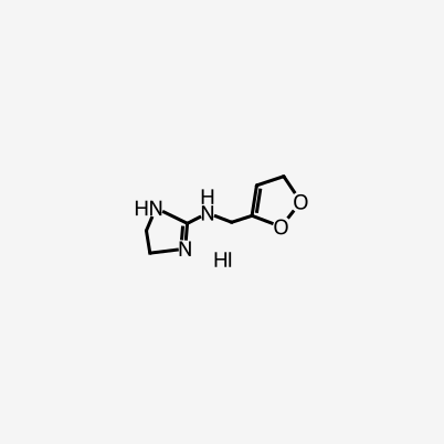 C1=C(CNC2=NCCN2)OOC1.I